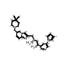 CC1(C)CCN(Cc2ccc3nc(CN(N)/C=C(\N)c4cncc(-n5cccc5)c4)cn3c2)CC1